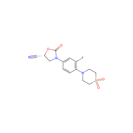 N#C[C@H]1CN(c2ccc(N3CCS(=O)(=O)CC3)c(F)c2)C(=O)O1